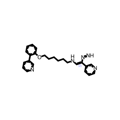 N=N/C(=C\NCCCCCCOc1ccccc1-c1cccnc1)c1cccnc1